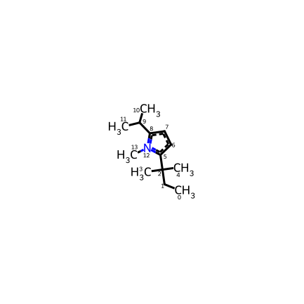 CCC(C)(C)c1ccc(C(C)C)n1C